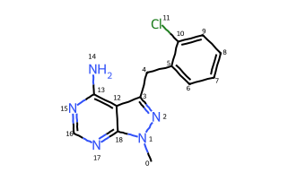 Cn1nc(Cc2ccccc2Cl)c2c(N)ncnc21